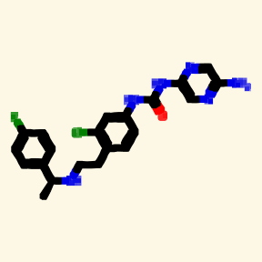 C[C@H](NCCc1ccc(NC(=O)Nc2cnc(N)cn2)cc1Cl)c1ccc(F)cc1